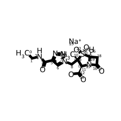 CCNC(=O)c1cn(C[C@@]2(C)[C@H](C(=O)[O-])N3C(=O)C[C@@H]3S2(=O)=O)nn1.[Na+]